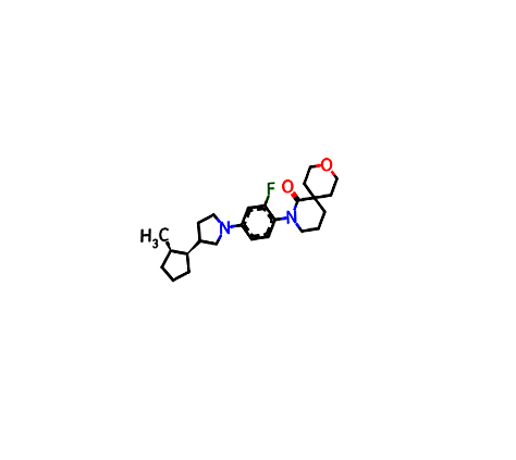 C[C@@H]1CCC[C@@H]1C1CCN(c2ccc(N3CCCC4(CCOCC4)C3=O)c(F)c2)C1